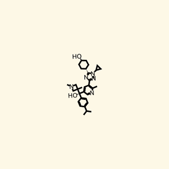 Cc1ncc([C@@](O)(c2ccc(C(C)C)cc2)C2(C)CN(C)C2)cc1-c1nc([C@H]2CC[C@H](O)CC2)n(C2CC2)n1